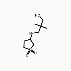 CC(C)(CO)CNC1CCS(=O)(=O)C1